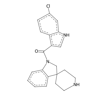 O=C(c1c[nH]c2cc(Cl)ccc12)N1CC2(CCNCC2)c2ccccc21